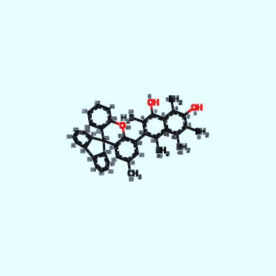 Bc1c(O)c(B)c2c(O)c(B)c(-c3cc(C)cc4c3Oc3ccccc3C43c4ccccc4-c4ccccc43)c(B)c2c1B